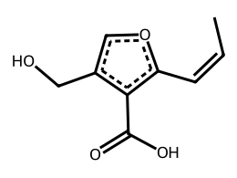 C/C=C\c1occ(CO)c1C(=O)O